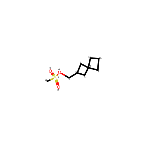 CS(=O)(=O)OCC1CC2(CCC2)C1